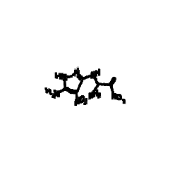 C=C(C(N)Nc1n[nH]c(N)c1[N+](=O)[O-])[N+](=O)[O-]